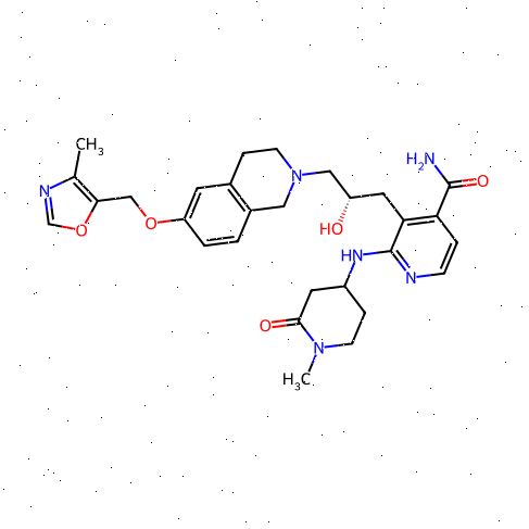 Cc1ncoc1COc1ccc2c(c1)CCN(C[C@@H](O)Cc1c(C(N)=O)ccnc1NC1CCN(C)C(=O)C1)C2